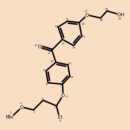 CCC(CCOC(C)(C)C)Oc1ccc(C(=O)c2ccc(OCCO)cc2)cc1